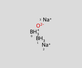 B.B.[Na+].[Na+].[O-2]